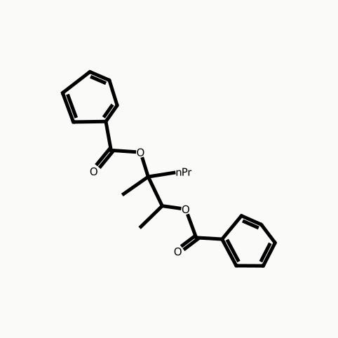 CCCC(C)(OC(=O)c1ccccc1)C(C)OC(=O)c1ccccc1